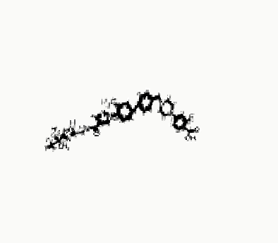 Cc1cc(-c2ccc(CN3CCN(c4ccc(C(=O)O)c(F)c4)CC3)cc2)ccc1-n1cc(C(=O)NCc2nc(C(C)(C)C(F)(F)F)n[nH]2)cn1